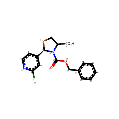 O=C(O)C1CS[C@H](c2ccnc(Cl)c2)N1C(=O)OCc1ccccc1